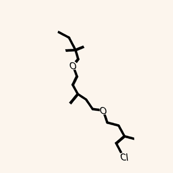 CCC(C)(C)COCCC(C)CCOCCC(C)CCl